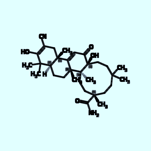 CC1(C)CC[C@](C)(C(N)=O)CC[C@]2(C)[C@@](O)(CC1)C(=O)C=C1[C@@]3(C)CC(C#N)=C(O)C(C)(C)[C@@H]3CC[C@]12C